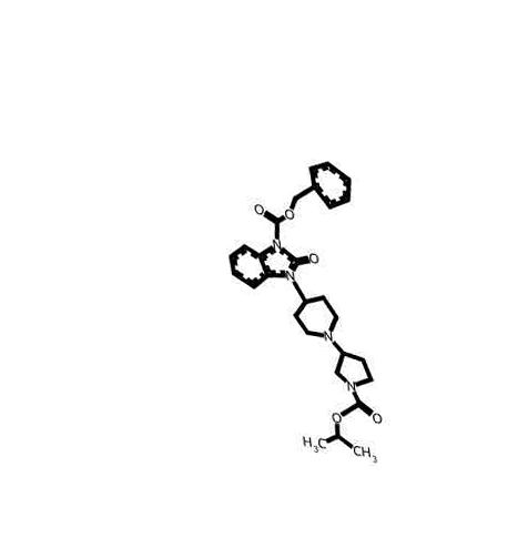 CC(C)OC(=O)N1CCC(N2CCC(n3c(=O)n(C(=O)OCc4ccccc4)c4ccccc43)CC2)C1